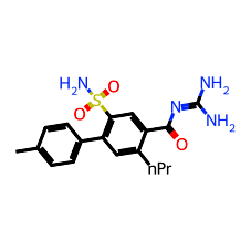 CCCc1cc(-c2ccc(C)cc2)c(S(N)(=O)=O)cc1C(=O)N=C(N)N